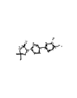 CC1(C)CN(c2ccc(-c3ccc(F)c(F)c3)cn2)C(=O)O1